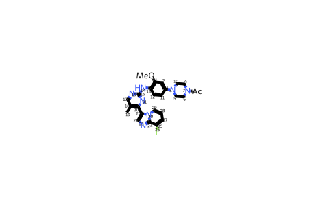 COc1cc(N2CCN(C(C)=O)CC2)ccc1Nc1ncc(C)c(-c2cnc3c(F)cccn23)n1